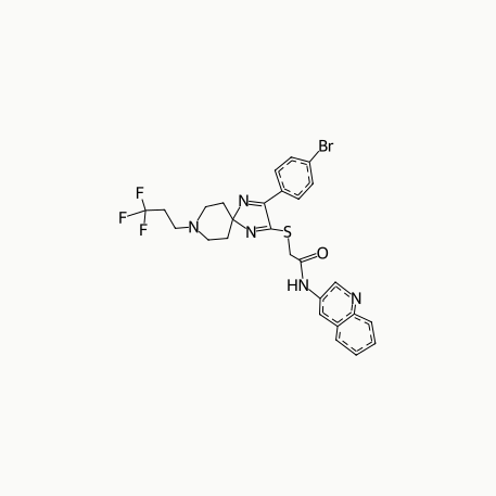 O=C(CSC1=NC2(CCN(CCC(F)(F)F)CC2)N=C1c1ccc(Br)cc1)Nc1cnc2ccccc2c1